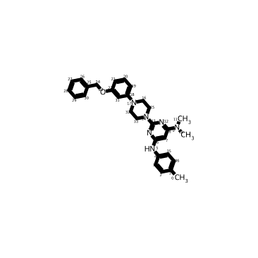 Cc1ccc(Nc2cc(N(C)C)nc(N3CCN(c4cccc(OCc5ccccc5)c4)CC3)n2)cc1